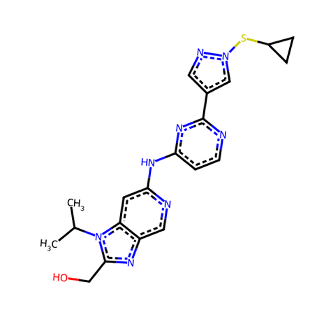 CC(C)n1c(CO)nc2cnc(Nc3ccnc(-c4cnn(SC5CC5)c4)n3)cc21